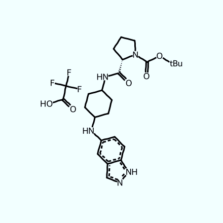 CC(C)(C)OC(=O)N1CCC[C@H]1C(=O)NC1CCC(Nc2ccc3[nH]ncc3c2)CC1.O=C(O)C(F)(F)F